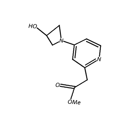 COC(=O)Cc1cc(N2CC(O)C2)ccn1